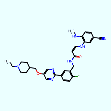 CCN1CCC(COc2cnc(-c3ccc(F)c(CNC(=O)/C=C\Nc4cc(C#N)ccc4NC)c3)nc2)CC1